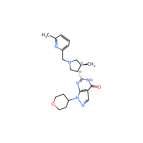 Cc1cccc(CN2C[C@@H](C)[C@H](c3nc4c(cnn4C4CCOCC4)c(=O)[nH]3)C2)n1